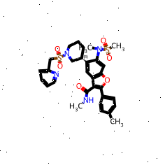 CNC(=O)c1c(-c2ccc(C)cc2)oc2cc(N(C)S(C)(=O)=O)c([C@H]3CCCN(S(=O)(=O)Cc4ccccn4)C3)cc12